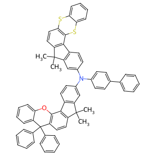 CC1(C)c2cc(N(c3ccc(-c4ccccc4)cc3)c3ccc4c(c3)C(C)(C)c3ccc5c(c3-4)Sc3ccccc3S5)ccc2-c2c1ccc1c2Oc2ccccc2C1(c1ccccc1)c1ccccc1